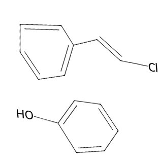 ClC=Cc1ccccc1.Oc1ccccc1